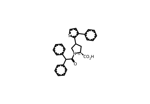 O=C(O)[C@@H]1CC(c2sccc2-c2ccccc2)CN1C(=O)C(c1ccccc1)c1ccccc1